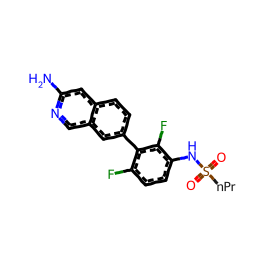 CCCS(=O)(=O)Nc1ccc(F)c(-c2ccc3cc(N)ncc3c2)c1F